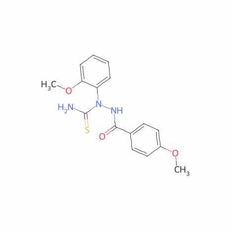 COc1ccc(C(=O)NN(C(N)=S)c2ccccc2OC)cc1